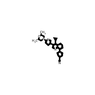 C[C@H]1CN(c2ccc(-c3cnc4c(-c5ccc(C#N)cc5)cccc4c3C3CC3)cn2)C[C@H](C)O1